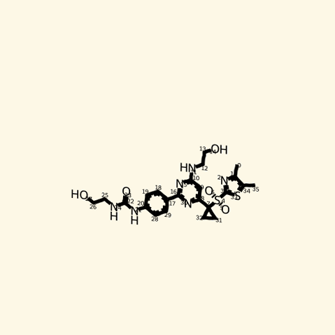 Cc1nc(S(=O)(=O)C2(c3cc(NCCO)nc(-c4ccc(NC(=O)NCCO)cc4)n3)CC2)sc1C